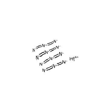 [Hf+4].[N-]=[N+]=[N-].[N-]=[N+]=[N-].[N-]=[N+]=[N-].[N-]=[N+]=[N-]